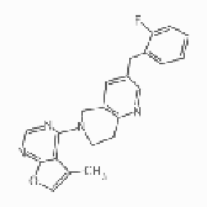 Cc1coc2ncnc(N3CCc4ncc(Cc5ccccc5F)cc4C3)c12